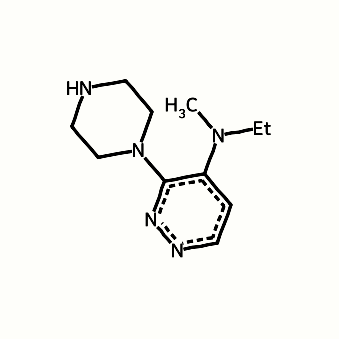 CCN(C)c1ccnnc1N1CCNCC1